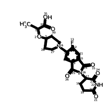 CC(OC1CCN(c2cc3c(cc2F)C(=O)N(C2CCC(=O)NC2=O)C3=O)CC1)C(=O)O